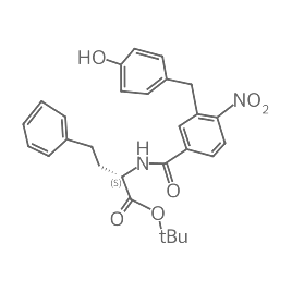 CC(C)(C)OC(=O)[C@H](CCc1ccccc1)NC(=O)c1ccc([N+](=O)[O-])c(Cc2ccc(O)cc2)c1